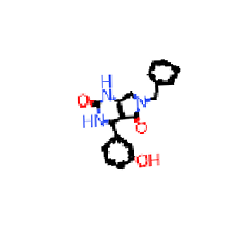 O=C1NC2=C(C(=O)N(Cc3ccccc3)C2)C(c2cccc(O)c2)N1